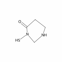 O=C1CCNCN1S